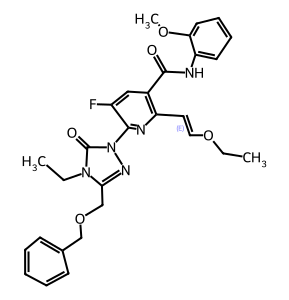 CCO/C=C/c1nc(-n2nc(COCc3ccccc3)n(CC)c2=O)c(F)cc1C(=O)Nc1ccccc1OC